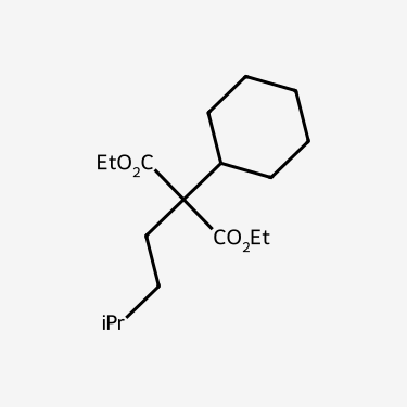 CCOC(=O)C(CCC(C)C)(C(=O)OCC)C1CCCCC1